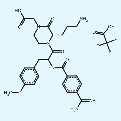 COc1ccc(CC(NC(=O)c2ccc(C(=N)N)cc2)C(=O)N2CCN(CC(=O)O)C(=O)[C@@H]2CCCN)cc1.O=C(O)C(F)(F)F